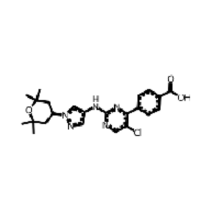 CC1(C)CC(n2cc(Nc3ncc(Cl)c(-c4ccc(C(=O)O)cc4)n3)cn2)CC(C)(C)O1